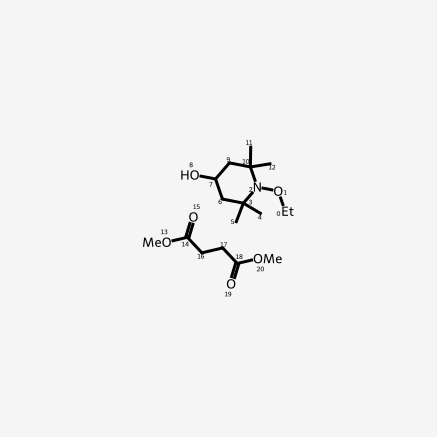 CCON1C(C)(C)CC(O)CC1(C)C.COC(=O)CCC(=O)OC